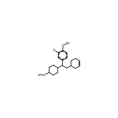 CCCCCCC1CCC(C(CC2CC=CCC2)c2ccc(OCC)c(F)c2)CC1